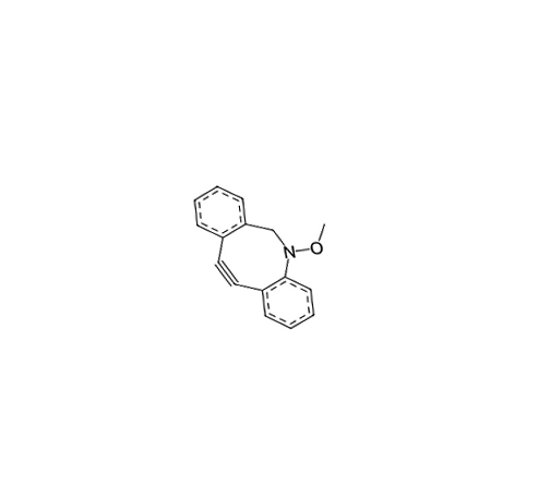 CON1Cc2ccccc2C#Cc2ccccc21